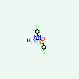 Nc1nc(-c2ccc(Cl)cc2)nc(C(=O)OCc2ccc(Cl)cc2)c1Cl